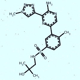 Cc1ccc(S(=O)(=O)NCC(C)(C)O)cc1-c1cnc(N)c(-c2cn(C)nn2)n1